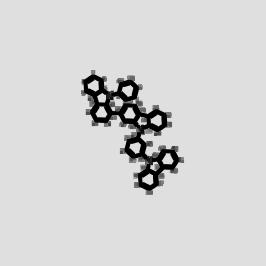 c1ccc(-n2c3ccccc3c3cccc(-c4ccc5c6ccccc6n(-c6cccc(-n7c8ccccc8c8ccccc87)c6)c5c4)c32)cc1